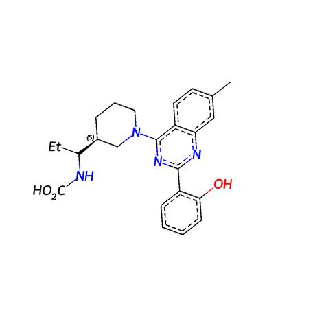 CCC(NC(=O)O)[C@H]1CCCN(c2nc(-c3ccccc3O)nc3cc(C)ccc23)C1